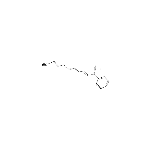 CCCCCCCCCCCCCCC/C=C/C(C)c1ccccc1